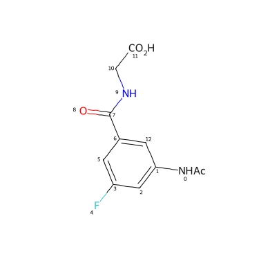 CC(=O)Nc1cc(F)cc(C(=O)NCC(=O)O)c1